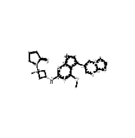 COc1nc(N[C@H]2C[C@@](C)(N3CCCC3=O)C2)nc2[nH]cc(-c3cnc4nccn4c3)c12